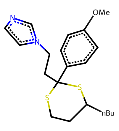 CCCCC1CCSC(CCn2ccnc2)(c2ccc(OC)cc2)S1